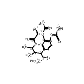 CC(C)COC(=O)Oc1ccc(C(C(C)C(C)OC(=O)CC(C)C)[C@H](N)C(=O)O)cc1OC(=O)OCC(C)C